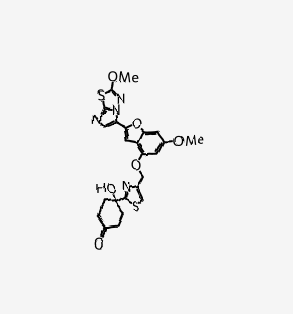 COc1cc(OCc2csc(C3(O)CCC(=O)CC3)n2)c2cc(-c3cnc4sc(OC)nn34)oc2c1